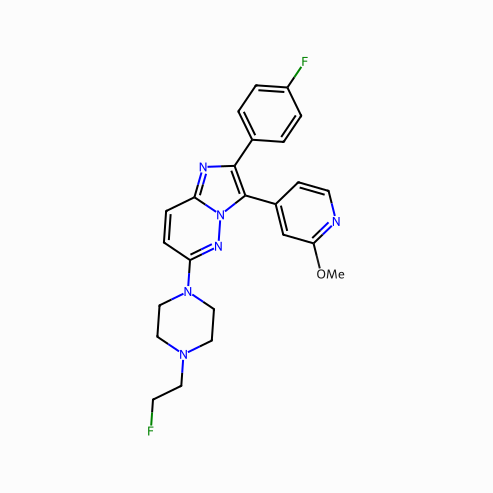 COc1cc(-c2c(-c3ccc(F)cc3)nc3ccc(N4CCN(CCF)CC4)nn23)ccn1